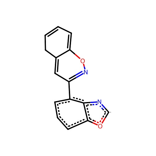 [c]1nc2c(C3=NOC4=CC=CCC4=C3)cccc2o1